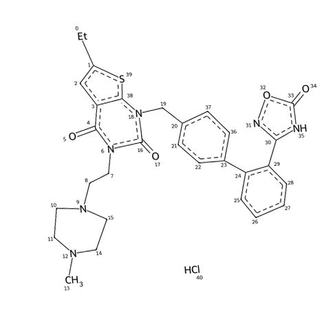 CCc1cc2c(=O)n(CCN3CCN(C)CC3)c(=O)n(Cc3ccc(-c4ccccc4-c4noc(=O)[nH]4)cc3)c2s1.Cl